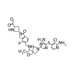 C[C@@H]1OCC2(CCN(c3cnc(Sc4ccnc(N)c4Cl)c(N)n3)CC2)[C@@H]1NCc1ccc2c(c1F)CN(C1CCC(C(=O)C=O)NC1)C2=O